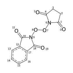 O=C1CCC(=O)N1OON1C(=O)c2ccccc2C1=O